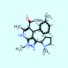 COC(=O)C1=C(C)Nc2c(c(C3CCCN3C)nn2C)C1c1cccc([N+](=O)[O-])c1